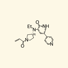 C=CC(=O)N1CC[C@@H](N(CC)c2cc(-c3ccncc3)c[nH]c2=O)C1